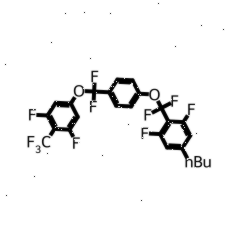 CCCCc1cc(F)c(C(F)(F)Oc2ccc(C(F)(F)Oc3cc(F)c(C(F)(F)F)c(F)c3)cc2)c(F)c1